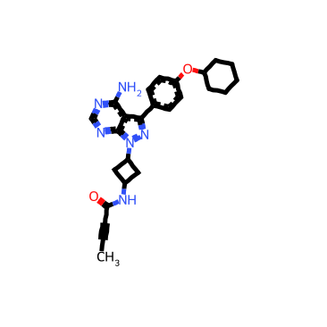 CC#CC(=O)NC1CC(n2nc(-c3ccc(OC4CCCCC4)cc3)c3c(N)ncnc32)C1